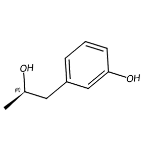 C[C@@H](O)Cc1cccc(O)c1